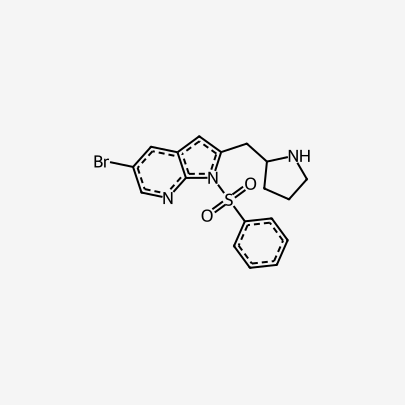 O=S(=O)(c1ccccc1)n1c(CC2CCCN2)cc2cc(Br)cnc21